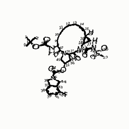 CC(C)(C)OC(=O)N[C@H]1CCCCC/C=C\[C@@H]2C[C@@]2(C(=O)NS(C)(=O)=O)NC(=O)[C@@H]2C[C@@H](OC(=O)N3Cc4cccc(F)c4C3)CN2C1=O